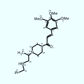 COc1cc(C=CC(=O)N2CCN(C(C)CNCC(C)C)CC2)cc(OC)c1OC